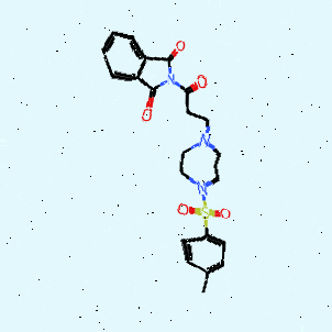 Cc1ccc(S(=O)(=O)N2CCN(CCC(=O)N3C(=O)c4ccccc4C3=O)CC2)cc1